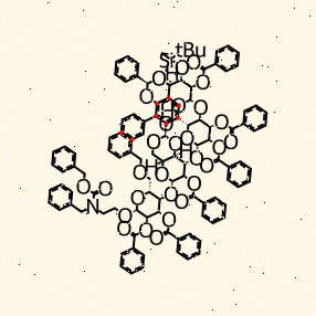 CC(C)(C)[Si](C)(C)O[C@@H]1[C@@H](OC(=O)c2ccccc2)[C@H](O[C@H]2[C@H](OC(=O)c3ccccc3)[C@@H](OC(=O)c3ccccc3)[C@H](O[C@@H]3[C@@H](OC(=O)c4ccccc4)[C@H](O[C@H]4[C@H](OC(=O)c5ccccc5)[C@@H](OC(=O)c5ccccc5)[C@H](OCCN(Cc5ccccc5)C(=O)OCc5ccccc5)O[C@@H]4COCc4ccccc4)O[C@@H]4CO[C@@H](c5ccccc5)O[C@@H]34)O[C@@H]2COCc2ccccc2)O[C@@H]2CO[C@@H](c3ccccc3)O[C@@H]12